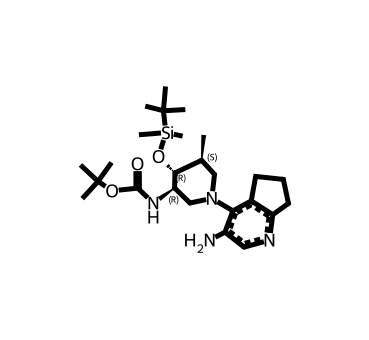 C[C@H]1CN(c2c(N)cnc3c2CCC3)C[C@@H](NC(=O)OC(C)(C)C)[C@@H]1O[Si](C)(C)C(C)(C)C